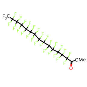 COC(=O)C(F)(F)C(F)(F)C(F)(F)C(F)(F)C(F)(F)C(F)(F)C(F)(F)C(F)(F)C(F)(F)C(F)(F)C(F)(F)C(F)(F)C(F)(F)C(F)(F)F